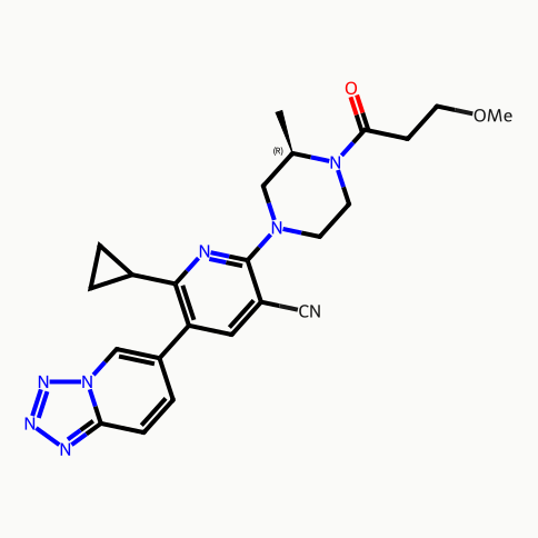 COCCC(=O)N1CCN(c2nc(C3CC3)c(-c3ccc4nnnn4c3)cc2C#N)C[C@H]1C